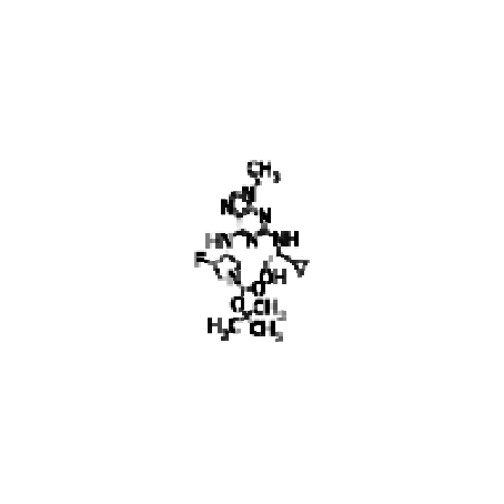 CCn1cnc2c(N[C@@H]3CN(C(=O)OC(C)(C)C)C[C@H]3F)nc(N[C@@H](CO)C3CC3)nc21